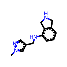 Cn1cc(CNc2cccc3c2CNC3)cn1